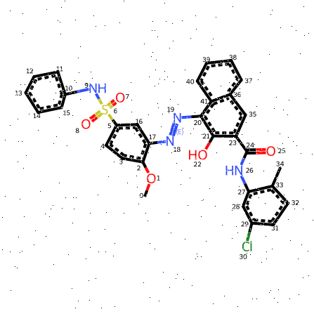 COc1ccc(S(=O)(=O)Nc2ccccc2)cc1/N=N/c1c(O)c(C(=O)Nc2cc(Cl)ccc2C)cc2ccccc12